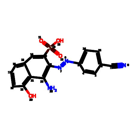 N#Cc1ccc(N=Nc2c(S(=O)(=O)O)cc3cccc(O)c3c2N)cc1